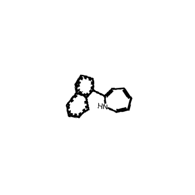 C1=CC=C(c2cccc3ccccc23)NC=C1